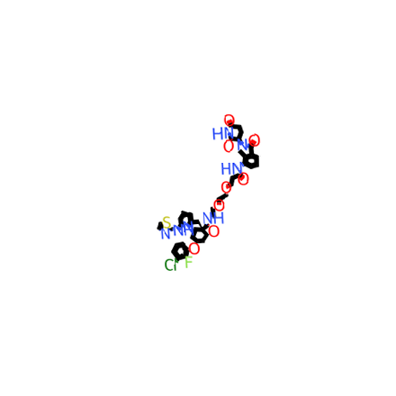 O=C1CCC(N2Cc3c(NC(=O)CCOCCOCCNC(=O)[C@]4(Cc5cccc(Nc6nccs6)n5)CC[C@@H](Oc5cccc(Cl)c5F)CC4)cccc3C2=O)C(=O)N1